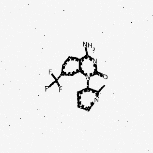 Cc1ncccc1-n1c(=O)nc(N)c2ccc(C(F)(F)F)cc21